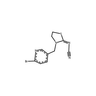 N#C/N=C1/SCCN1Cc1ccc(Br)nc1